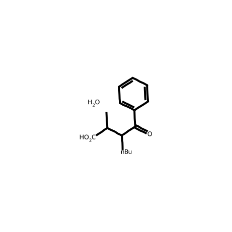 CCCCC(C(=O)c1ccccc1)C(C)C(=O)O.O